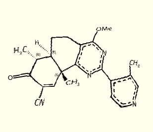 COc1nc(-c2ccncc2C)nc2c1CC[C@@H]1[C@@H](C)C(=O)C(C#N)=C[C@@]21C